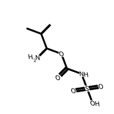 CC(C)C(N)OC(=O)NS(=O)(=O)O